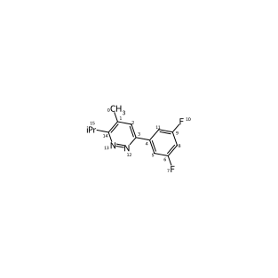 Cc1cc(-c2cc(F)cc(F)c2)nnc1C(C)C